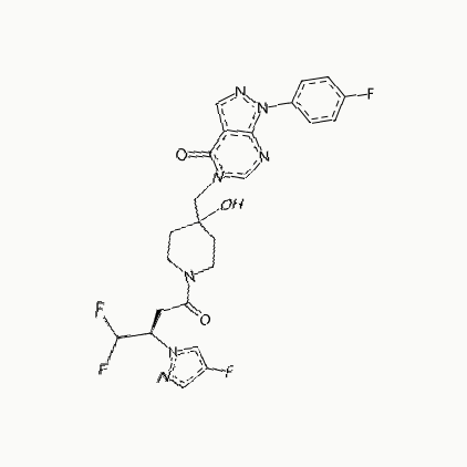 O=C(C[C@H](C(F)F)n1cc(F)cn1)N1CCC(O)(Cn2cnc3c(cnn3-c3ccc(F)cc3)c2=O)CC1